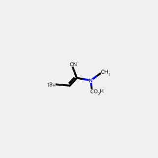 CN(C(=O)O)C(C#N)=CC(C)(C)C